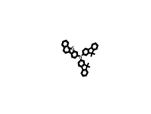 CC1(C)c2ccccc2-c2ccc(N(c3ccc4c(c3)C(C)(C)c3ccccc3-4)c3ccc4c(c3)sc3c5ccccc5ccc43)cc21